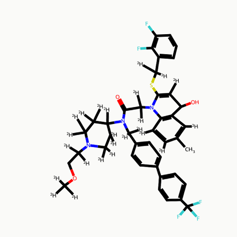 [2H]C1=C(SC([2H])([2H])c2cccc(F)c2F)N(C([2H])([2H])C(=O)N(C([2H])([2H])c2ccc(-c3ccc(C(F)(F)F)cc3)cc2)C2([2H])C([2H])([2H])C([2H])([2H])N(C([2H])([2H])COC([2H])([2H])[2H])C([2H])([2H])C2([2H])[2H])c2c([2H])c([2H])c(C)c([2H])c2C1O